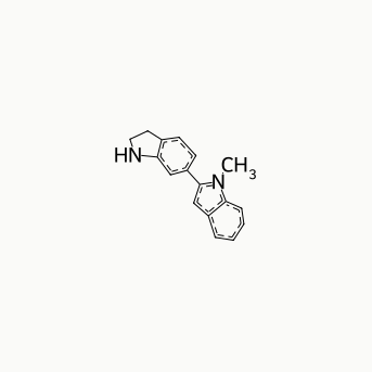 Cn1c(-c2ccc3c(c2)NCC3)cc2ccccc21